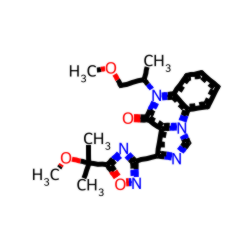 COCC(C)n1c(=O)c2c(-c3noc(C(C)(C)OC)n3)ncn2c2ccccc21